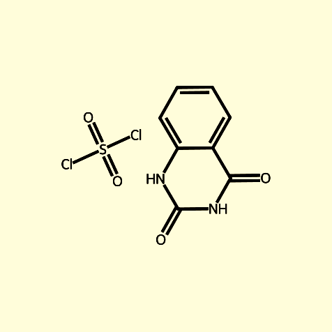 O=S(=O)(Cl)Cl.O=c1[nH]c(=O)c2ccccc2[nH]1